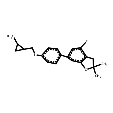 CC1(C)Cc2c(F)cc(-c3ccc(OCC4CC4C(=O)O)cc3)cc2O1